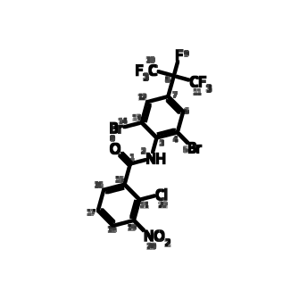 O=C(Nc1c(Br)cc(C(F)(C(F)(F)F)C(F)(F)F)cc1Br)c1cccc([N+](=O)[O-])c1Cl